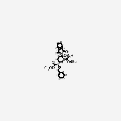 CC(C)(C)OC(=O)N1C[C@H](N(OCc2ccccc2)C(=O)OC(Cl)(Cl)Cl)CC[C@]1(C(=O)O)N1C(=O)C2C3C=CC(C3)C2C1=O